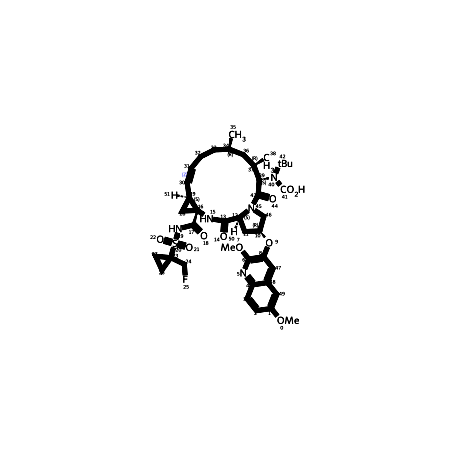 COc1ccc2nc(OC)c(O[C@@H]3C[C@H]4C(=O)N[C@]5(C(=O)NS(=O)(=O)C6(CF)CC6)C[C@H]5/C=C\CC[C@@H](C)C[C@@H](C)[C@H](N(C(=O)O)C(C)(C)C)C(=O)N4C3)cc2c1